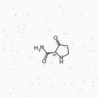 NC(=O)[C@@H]1NCCC1=O